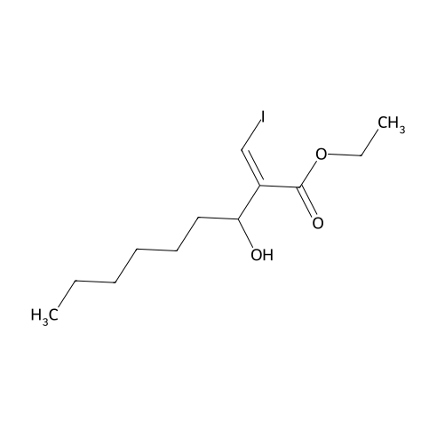 CCCCCCC(O)C(=CI)C(=O)OCC